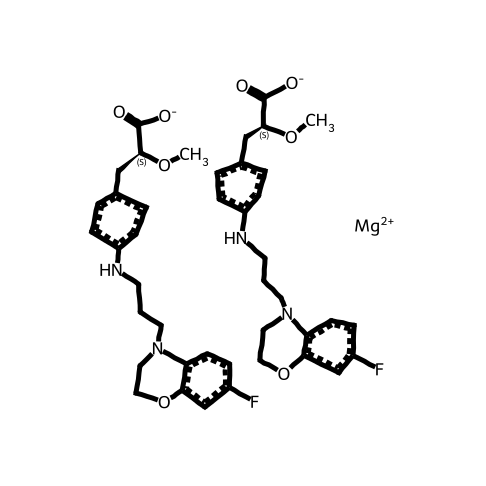 CO[C@@H](Cc1ccc(NCCCN2CCOc3cc(F)ccc32)cc1)C(=O)[O-].CO[C@@H](Cc1ccc(NCCCN2CCOc3cc(F)ccc32)cc1)C(=O)[O-].[Mg+2]